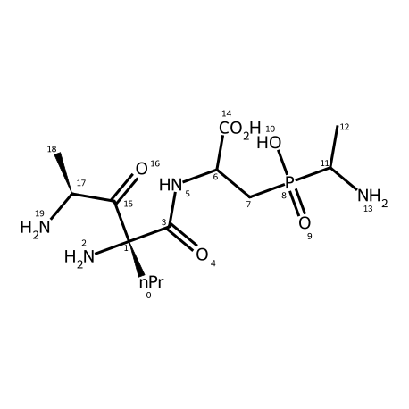 CCC[C@](N)(C(=O)NC(CP(=O)(O)C(C)N)C(=O)O)C(=O)[C@H](C)N